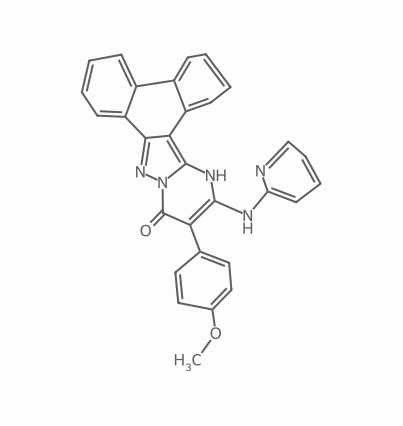 COc1ccc(-c2c(Nc3ccccn3)[nH]c3c4c5ccccc5c5ccccc5c4nn3c2=O)cc1